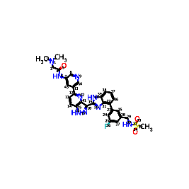 CN(C)CC(=O)Nc1cncc(-c2ccc3[nH]nc(-c4nc5c(-c6cc(F)cc(CNS(C)(=O)=O)c6)cccc5[nH]4)c3n2)c1